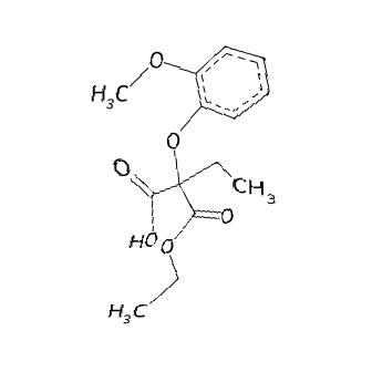 CCOC(=O)C(CC)(Oc1ccccc1OC)C(=O)O